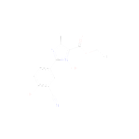 CCOC(=O)c1c(C)nc(-c2ccc(O)c(C#N)c2)n1O